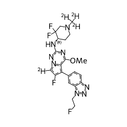 [2H]c1c(F)c(-c2ccc3nnn(CCF)c3c2)c2c(OC)nc(N[C@@H]3CCN(C([2H])([2H])[2H])CC3(F)F)nn12